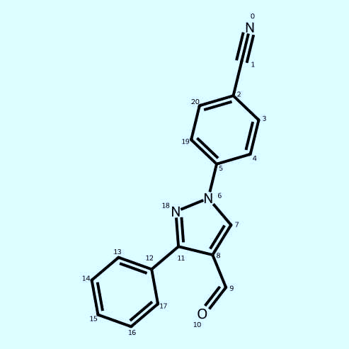 N#Cc1ccc(-n2cc(C=O)c(-c3ccccc3)n2)cc1